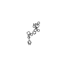 O=C1CC[C@@H](N2Cc3cc(O[C@@H]4CCCC[C@@H]4N4CC(c5ccncc5)C4)ccc3C2=O)C(=O)N1